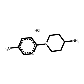 Cl.NC1CCN(c2ccc(C(F)(F)F)cn2)CC1